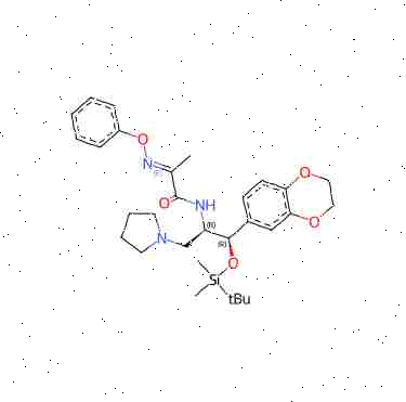 C/C(=N\Oc1ccccc1)C(=O)N[C@H](CN1CCCC1)[C@H](O[Si](C)(C)C(C)(C)C)c1ccc2c(c1)OCCO2